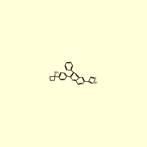 NC1(c2ccc(-c3nc4cnc(-c5cn[nH]c5)cc4cc3-c3ccccc3)cc2)CCC1